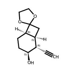 C#C[C@H]1[C@@H]2CC3(OCCO3)[C@@H]2CC[C@@H]1O